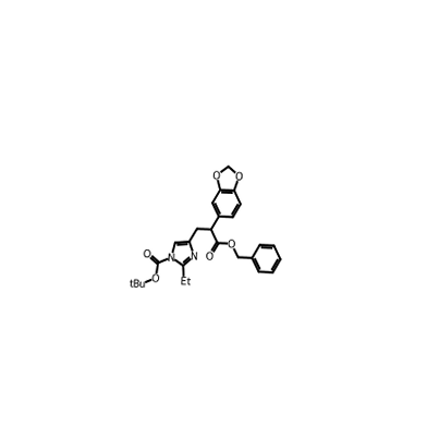 CCc1nc(CC(C(=O)OCc2ccccc2)c2ccc3c(c2)OCO3)cn1C(=O)OC(C)(C)C